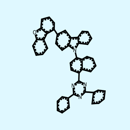 c1ccc(-c2nc(-c3ccccc3)nc(-c3ccc(-n4c5ccccc5c5cc(-c6cccc7oc8ccccc8c67)ccc54)c4ccccc34)n2)cc1